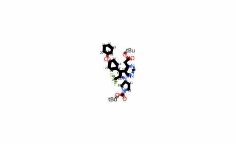 CC(C)(C)OC(=O)Cc1ncnc2c1c(-c1ccc(Oc3ccccc3)cc1)c(C(F)F)n2[C@@H]1CCN(C(=O)OC(C)(C)C)C1